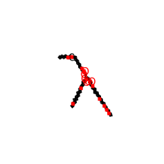 CCCCCCCC/C=C\CCCCCCCC(=O)OC[C@H](COC(=O)CCCCCCCCCCCCCCCCCCC)OC(=O)CCCCCCCCCCCCCCC